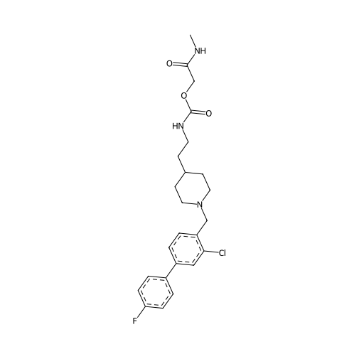 CNC(=O)COC(=O)NCCC1CCN(Cc2ccc(-c3ccc(F)cc3)cc2Cl)CC1